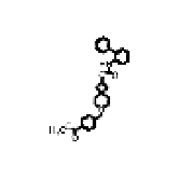 COC(=O)c1ccc(CN2CCC3(CC2)CC(OC(=O)Nc2ccccc2-c2ccccc2)C3)cc1